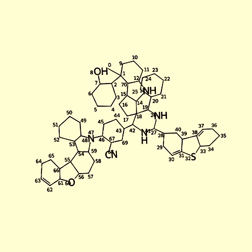 CC1(C2CCCCC2O)CCCC2NC3C(CCC34C(C3CCCCC3)NC(C3CC=C5SC6CCCC=C6C5C3)NC4C3CCC(N4C5CCCCC5C5C6C(CCC54)OC4C=CCCC46)C(C#N)C3)C21